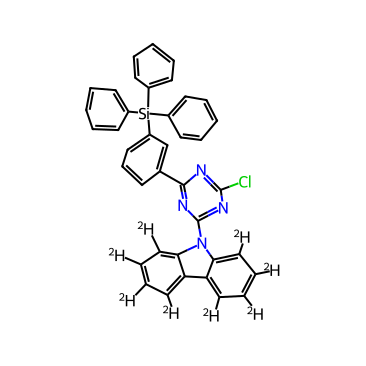 [2H]c1c([2H])c([2H])c2c(c1[2H])c1c([2H])c([2H])c([2H])c([2H])c1n2-c1nc(Cl)nc(-c2cccc([Si](c3ccccc3)(c3ccccc3)c3ccccc3)c2)n1